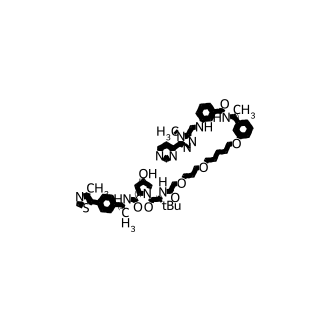 Cc1ncsc1-c1ccc([C@H](C)NC(=O)[C@@H]2C[C@@H](O)CN2C(=O)[C@@H](NC(=O)COCCCOCCCCCOc2cccc([C@@H](C)NC(=O)c3cccc(NCc4nnc(-c5ccncn5)n4C)c3)c2)C(C)(C)C)cc1